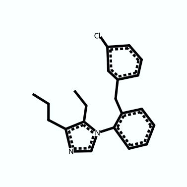 CCCc1ncn(-c2ccccc2Cc2cccc(Cl)c2)c1CC